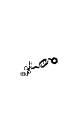 CC(C)(C)OC(=O)NCCCN1CC2CN(Cc3ccccc3)CC(C1)O2